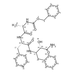 C[C@H](NC(=O)OCc1ccccc1)C(=O)N[C@@H](Cc1ccncc1)C(=O)NC(Cc1ccccc1)[C@H](O)C(N)=O